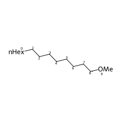 CCCCCCCCCCCCC[CH]OC